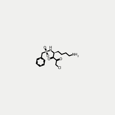 NCCCC[C@H](NS(=O)(=O)Cc1ccccc1)C(=O)C(=O)CCl